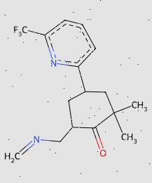 C=NCC1CC(c2cccc(C(F)(F)F)n2)CC(C)(C)C1=O